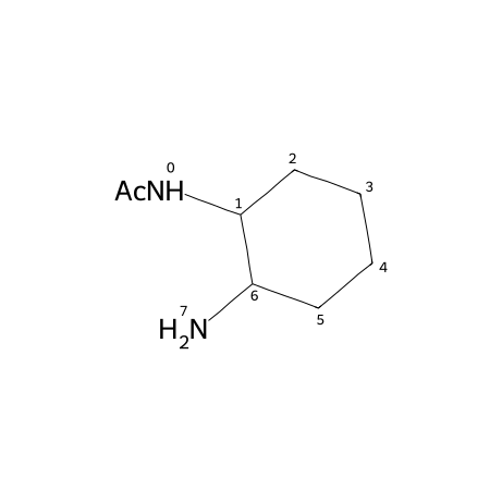 CC(=O)NC1CCCCC1N